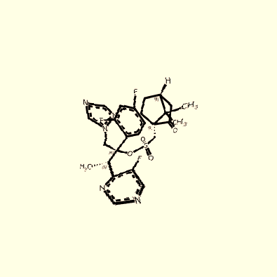 C[C@@H](c1ncncc1F)[C@@](Cn1cncn1)(OS(=O)(=O)C[C@@]12CC[C@H](CC1=O)C2(C)C)c1ccc(F)cc1F